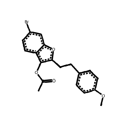 COc1ccc(CCc2oc3cc(Br)ccc3c2OC(C)=O)cc1